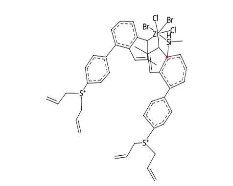 C=CC[S+](CC=C)c1ccc(-c2cccc3c2C=C(C)[CH]3[Zr]([Cl])([Cl])([Br])([Br])([CH]2C(C)=Cc3c(-c4ccc([S+](CC=C)CC=C)cc4)cccc32)[SiH](C)C)cc1